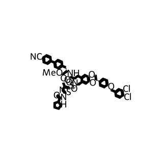 COC(=O)[C@H](Cc1ccc(-c2ccc(C#N)cc2)cc1)NC(=O)C1Cc2cc3c(cc2CN1S(=O)(=O)c1sc(NC(=O)C2CCCC2)nc1C)O[C@@H](c1ccc(OCc2ccc(Cl)c(Cl)c2)cc1)CO3